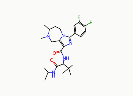 CC(C)NC(=O)[C@@H](NC(=O)c1nc(-c2ccc(F)c(F)c2)n2c1CN(C)C(C)CC2)C(C)(C)C